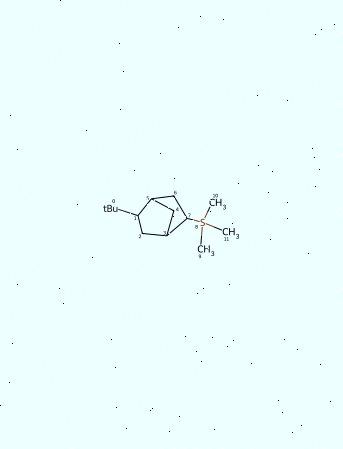 CC(C)(C)C1CC2CC1CC2S(C)(C)C